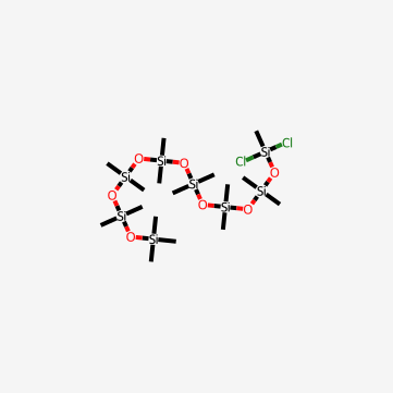 C[Si](C)(C)O[Si](C)(C)O[Si](C)(C)O[Si](C)(C)O[Si](C)(C)O[Si](C)(C)O[Si](C)(C)O[Si](C)(Cl)Cl